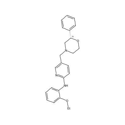 CCOc1ccccc1Nc1ccc(CN2CCO[C@@H](c3ccccc3)C2)cn1